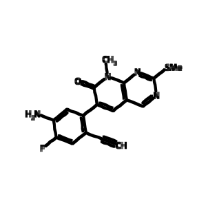 C#Cc1cc(F)c(N)cc1-c1cc2cnc(SC)nc2n(C)c1=O